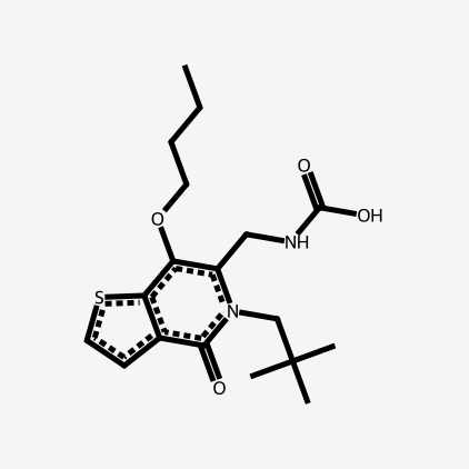 CCCCOc1c(CNC(=O)O)n(CC(C)(C)C)c(=O)c2ccsc12